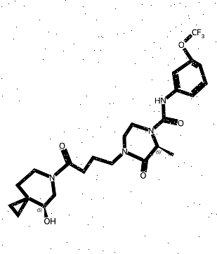 C[C@H]1C(=O)N(CCCC(=O)N2CCC3(CC3)[C@H](O)C2)CCN1C(=O)Nc1cccc(OC(F)(F)F)c1